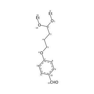 CCOC(CCCOc1ccc(C=O)cc1)OCC